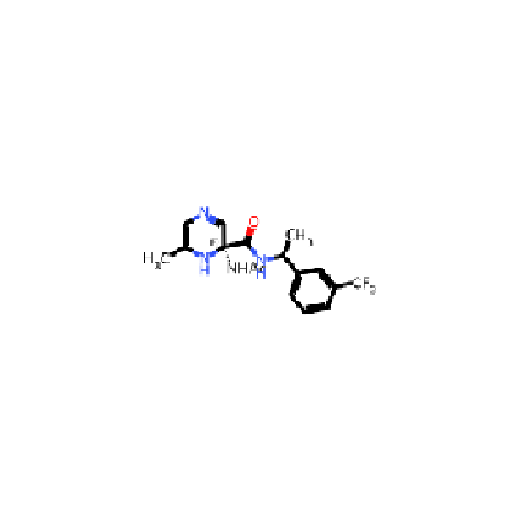 CC(=O)N[C@@]1(C(=O)NC(C)c2cccc(C(F)(F)F)c2)C=NC=C(C)N1